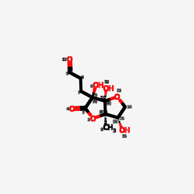 C[C@]12OC(=O)[C@](O)(CCC=O)[C@@]1(O)OC[C@@H]2O